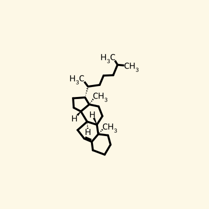 CC(C)CCCC(C)[C@H]1CC[C@H]2[C@@H]3CC=C4CCCC[C@]4(C)[C@H]3CC[C@]12C